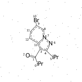 CC(C)C(=O)c1c(C(C)C)nn2cc(Br)ccc12